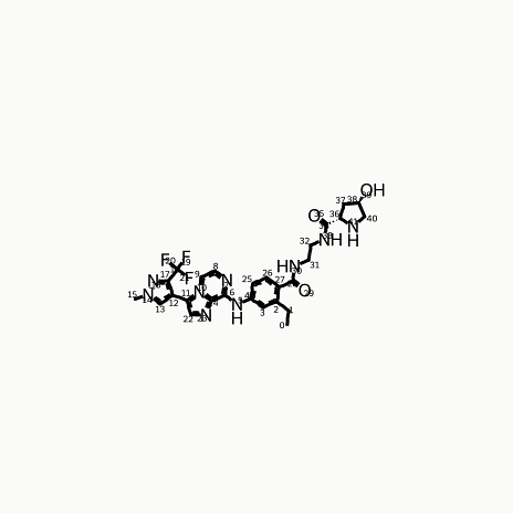 CCc1cc(Nc2nccn3c(-c4cn(C)nc4C(F)(F)F)cnc23)ccc1C(=O)NCCNC(=O)[C@@H]1C[C@@H](O)CN1